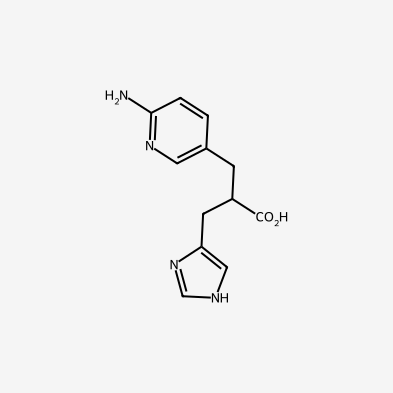 Nc1ccc(CC(Cc2c[nH]cn2)C(=O)O)cn1